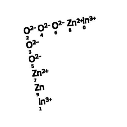 [In+3].[In+3].[O-2].[O-2].[O-2].[O-2].[O-2].[Zn+2].[Zn+2].[Zn]